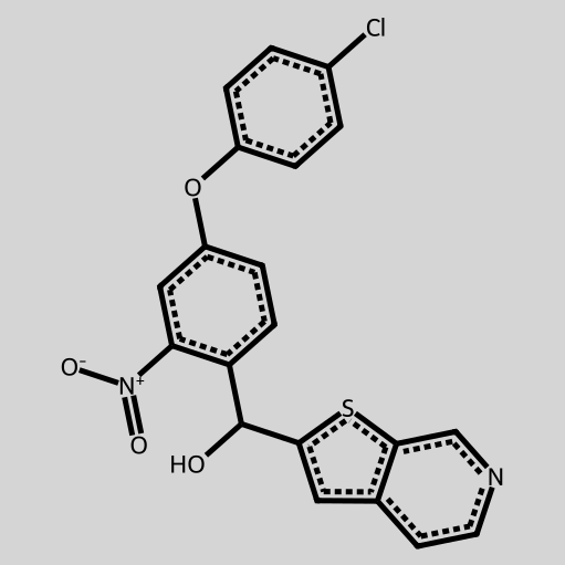 O=[N+]([O-])c1cc(Oc2ccc(Cl)cc2)ccc1C(O)c1cc2ccncc2s1